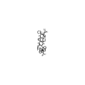 O=C(NS(=O)(=O)C1CC1)c1cc(Cl)c(Oc2cnc(C3CC3)c(Cl)c2)cc1F